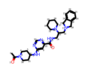 CC(=O)N1CCC(Nc2cc(C(=O)NCC(CN3Cc4ccccc4C3)N3CCCCC3)ncn2)CC1